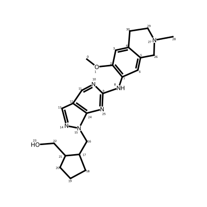 COc1cc2c(cc1Nc1ncc3cnn(CC4CCCC4CO)c3n1)CN(C)CC2